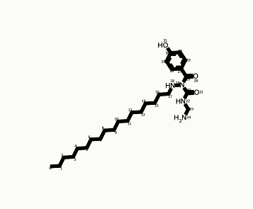 CCCCCCCCCCCCCCCCCCNN(C(=O)NCN)C(=O)c1ccc(O)cc1